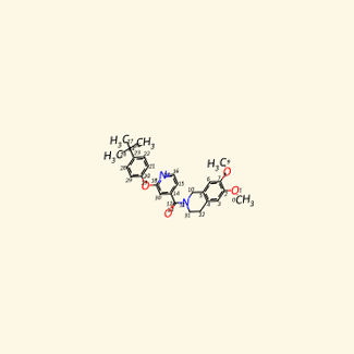 COc1cc2c(cc1OC)CN(C(=O)c1ccnc(Oc3ccc(C(C)(C)C)cc3)c1)CC2